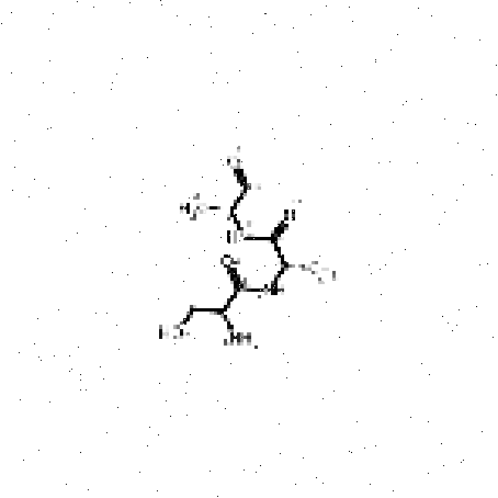 C[C@H](NC(=O)[C@@H](N)CO)C(=O)N[C@@H](C)[C]=O